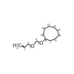 C=CCOCOC1CCCCCCCC1